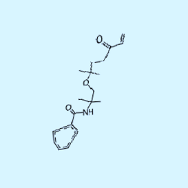 C=CC(=O)CCC(C)(C)OCC(C)(C)NC(=O)c1ccccc1